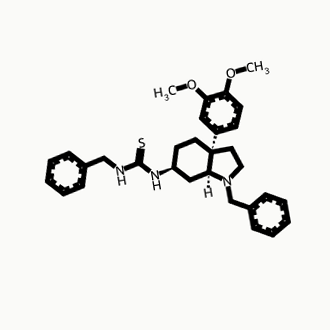 COc1ccc([C@@]23CC[C@H](NC(=S)NCc4ccccc4)C[C@@H]2N(Cc2ccccc2)CC3)cc1OC